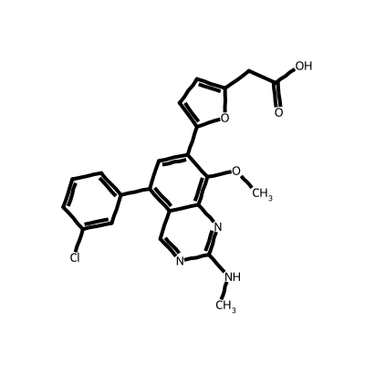 CNc1ncc2c(-c3cccc(Cl)c3)cc(-c3ccc(CC(=O)O)o3)c(OC)c2n1